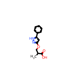 CC(COc1cc(-c2ccccc2)[nH]n1)C(=O)O